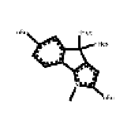 CCCCCCC1(CCCCCC)c2cc(CCCC)ccc2-c2c1cc(CCCC)n2C